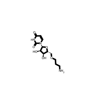 NCCCOC[C@H]1O[C@@H](n2ccc(=O)[nH]c2=O)[C@H](O)[C@@H]1O